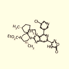 CCOC(=O)N1C[C@@H](C)N(c2nc3cc(-c4noc(=O)[nH]4)nc(-c4cncc(Cl)c4)c3n2C[C@H]2CC[C@H](C)CC2)[C@H](C)C1